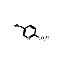 CCCCc1ccc(C(=O)OCC)nc1